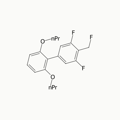 CCCOc1cccc(OCCC)c1-c1cc(F)c(CF)c(F)c1